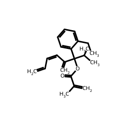 C=C/C=C\C(=C)C(OC(=O)C(=C)C)(c1ccccc1CC)C(C)C